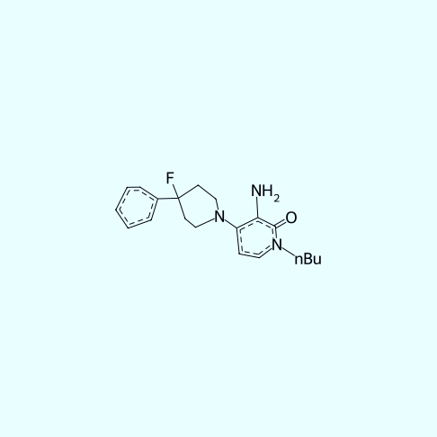 CCCCn1ccc(N2CCC(F)(c3ccccc3)CC2)c(N)c1=O